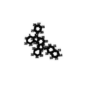 C1=Cc2c(c3c4c5c(n(-c6ccc7ccccc7c6)c4ccc3n2-c2ccccc2)=CCCC=5)CC1